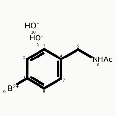 [B+2]c1ccc(CNC(C)=O)cc1.[OH-].[OH-]